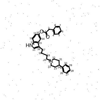 O=C(Cc1ccccc1)Oc1ccc2[nH]cc(CCCCN3CCC(c4ccccc4)CC3)c2c1